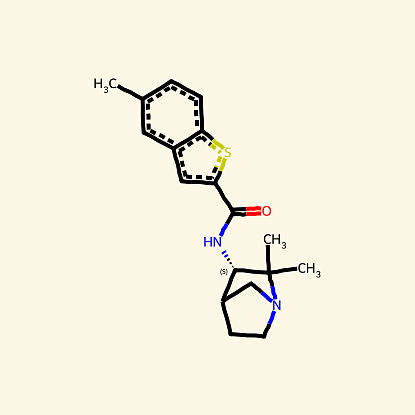 Cc1ccc2sc(C(=O)N[C@H]3C4CCN(C4)C3(C)C)cc2c1